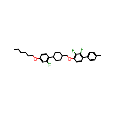 CCCCCCOc1ccc(C2CCC(COc3ccc(-c4ccc(C)cc4)c(F)c3F)CC2)c(F)c1